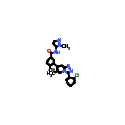 Cc1ccc(C(=O)Nc2ccnn2C)cc1-c1cc2nnc(-c3ccccc3Cl)n2cc1C